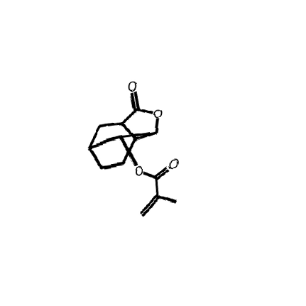 C=C(C)C(=O)OC1C2CCC3C(C2)C(=O)OC31